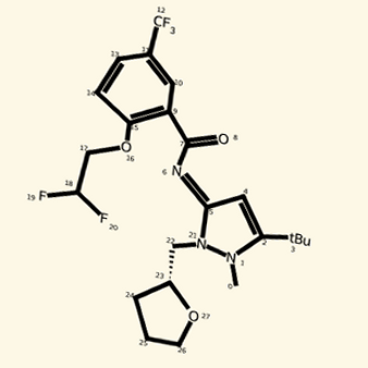 Cn1c(C(C)(C)C)cc(=NC(=O)c2cc(C(F)(F)F)ccc2OCC(F)F)n1C[C@H]1CCCO1